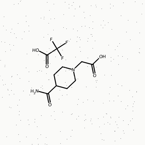 NC(=O)C1CCN(CC(=O)O)CC1.O=C(O)C(F)(F)F